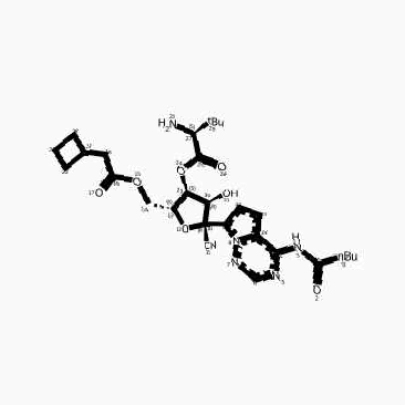 CCCCC(=O)Nc1ncnn2c([C@]3(C#N)O[C@H](COC(=O)CC4CCC4)[C@@H](OC(=O)[C@@H](N)C(C)(C)C)[C@H]3O)ccc12